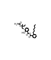 CCC(C)(CC)OC(N)=O.CCCCCCc1ccccc1C(=O)OC(=O)c1ccccc1O